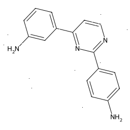 Nc1ccc(-c2nccc(-c3cccc(N)c3)n2)cc1